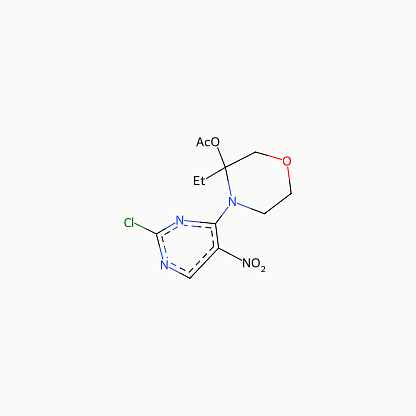 CCC1(OC(C)=O)COCCN1c1nc(Cl)ncc1[N+](=O)[O-]